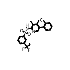 Cc1c(-c2ccccc2Cl)cnc(NS(=O)(=O)c2cccc(C(F)(F)F)c2)c1C